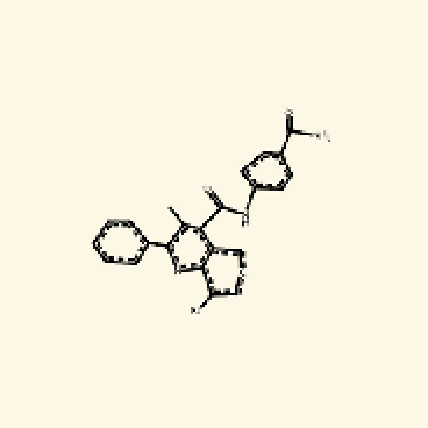 Cc1c(-c2ccccc2)nc2c(Br)cccc2c1C(=O)Nc1ccc(C(N)=O)cc1